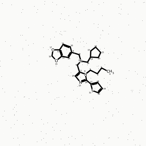 CCCCn1c(CN(Cc2ccc3c(c2)OCO3)CC2CCCC2)cnc1-c1cccs1